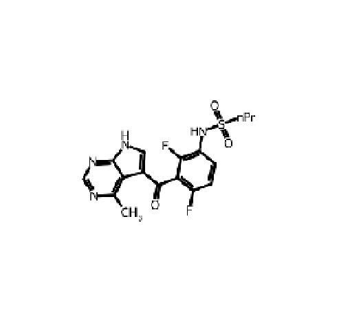 CCCS(=O)(=O)Nc1ccc(F)c(C(=O)c2c[nH]c3ncnc(C)c23)c1F